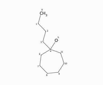 CCCCC1([O])CCCCCC1